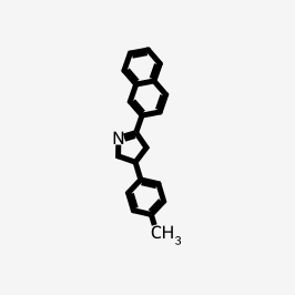 Cc1ccc(C2CN=C(c3ccc4ccccc4c3)C2)cc1